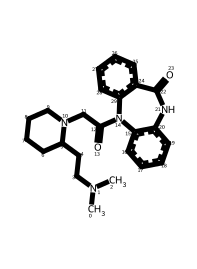 CN(C)CCC1CCCCN1CC(=O)N1c2ccccc2NC(=O)c2ccccc21